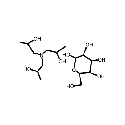 CC(O)CN(CC(C)O)CC(C)O.OC[C@H]1OC(O)[C@@H](O)[C@@H](O)[C@H]1O